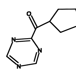 O=C(c1ncncn1)C1CCCC1